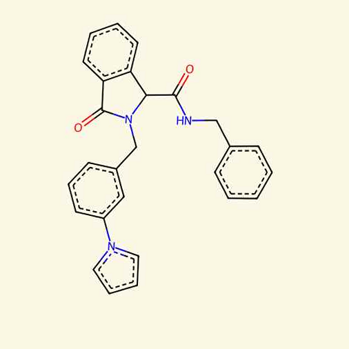 O=C(NCc1ccccc1)C1c2ccccc2C(=O)N1Cc1cccc(-n2cccc2)c1